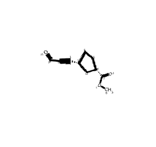 COC(=O)[C@H]1CC[C@@H](C#CC=O)C1